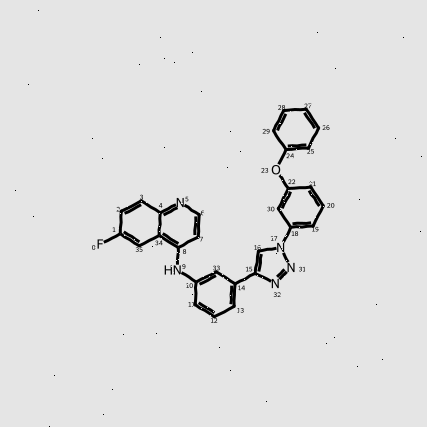 Fc1ccc2nccc(Nc3cccc(-c4cn(-c5cccc(Oc6ccccc6)c5)nn4)c3)c2c1